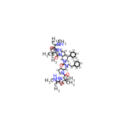 CN[C@@H](C)C(=O)N[C@H](C(=O)N1CCCC1CN(CCc1ccccc1)C(=O)N(CCc1ccccc1)C[C@@H]1CCCN1C(=O)[C@@H](NC(=O)[C@H](C)NC)C(C)(C)C)C(C)(C)C